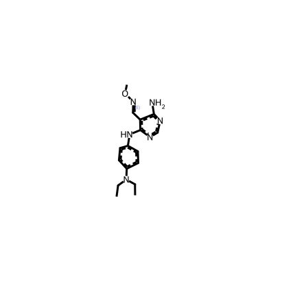 CCN(CC)c1ccc(Nc2ncnc(N)c2/C=N/OC)cc1